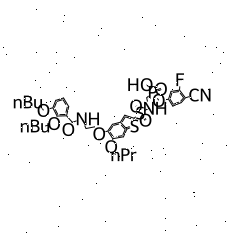 CCCCOc1cccc(C(=O)NCCOc2cc3cc(S(=O)(=O)NCP(=O)(O)Oc4ccc(C#N)c(F)c4)sc3cc2OCCC)c1OCCCC